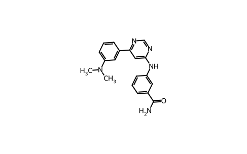 CN(C)c1cccc(-c2cc(Nc3cccc(C(N)=O)c3)ncn2)c1